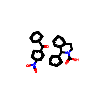 O=C(O)N1CCc2ccccc2C1c1ccccc1.O=C(c1ccccc1)c1ccc([N+](=O)[O-])cc1